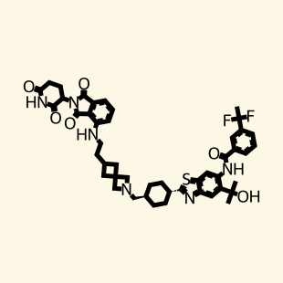 CC(C)(O)c1cc2nc([C@H]3CC[C@H](CN4CC5(CC(CCNc6cccc7c6C(=O)N(C6CCC(=O)NC6=O)C7=O)C5)C4)CC3)sc2cc1NC(=O)c1cccc(C(C)(F)F)c1